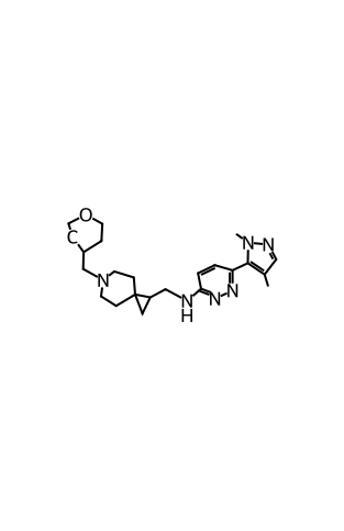 Cc1cnn(C)c1-c1ccc(NCC2CC23CCN(CC2CCOCC2)CC3)nn1